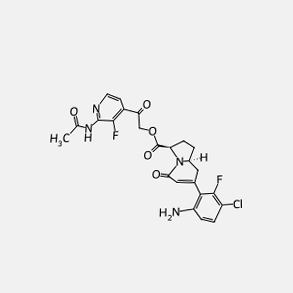 CC(=O)Nc1nccc(C(=O)COC(=O)[C@H]2CC[C@H]3CC(c4c(N)ccc(Cl)c4F)=CC(=O)N32)c1F